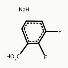 O=C(O)c1cccc(F)c1F.[NaH]